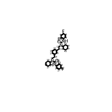 O=C(Nc1ccc(F)cc1F)N(CCc1cccc(CCN(C(=O)Nc2ccc(F)cc2F)C2CCCCC2)c1)C1CCCCC1